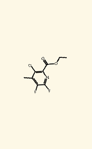 CCOC(=O)c1nc(F)c(F)c(C)c1Cl